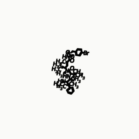 CNC(C(=O)NC(C(=O)N(C)C(/C=C(\C)C(=O)NS(=O)(=O)Cc1ccc(Br)cc1)C(C)C)C(C)(C)C)C(C)(C)c1ccccc1